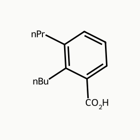 CCCCc1c(CCC)cccc1C(=O)O